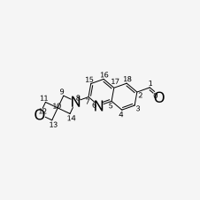 O=Cc1ccc2nc(N3CC4(COC4)C3)ccc2c1